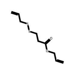 C=CCOC(=O)CCSSCC=C